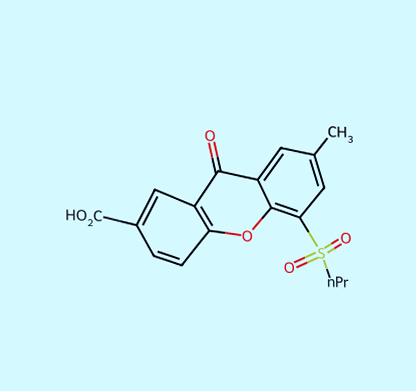 CCCS(=O)(=O)c1cc(C)cc2c(=O)c3cc(C(=O)O)ccc3oc12